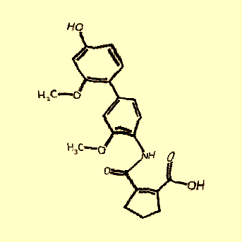 COc1cc(-c2ccc(O)cc2OC)ccc1NC(=O)C1=C(C(=O)O)CCC1